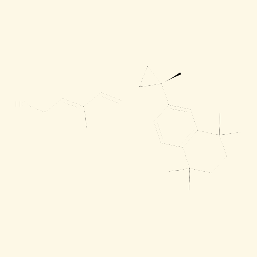 CC(/C=C/[C@@H]1C[C@]1(C)c1ccc2c(c1)C(C)(C)CCC2(C)C)=C\CO